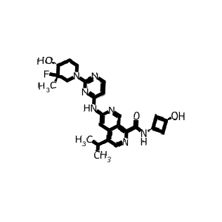 CC(C)c1cnc(C(=O)N[C@H]2C[C@H](O)C2)c2cnc(Nc3ccnc(N4CC[C@@H](O)[C@@](C)(F)C4)n3)cc12